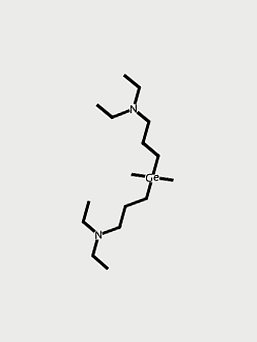 CCN(CC)CC[CH2][Ge]([CH3])([CH3])[CH2]CCN(CC)CC